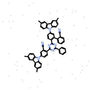 Cc1ccc2c(c1)c1cc(C)ccc1n2-c1ccc(-c2nc(-c3ccccc3)nc(-c3ccc(-n4c5ccc(C)cc5c5cc(C)ccc54)cc3-c3ccccc3C#N)n2)c(C#N)c1